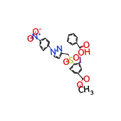 COC(=O)c1ccc(S(=O)(=O)Cc2ccn(-c3ccc([N+](=O)[O-])cc3)n2)c(I)c1.O=C(O)c1ccccc1